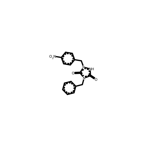 O=c1[nH]n(Cc2ccc([N+](=O)[O-])cc2)c(=O)n1Cc1ccccc1